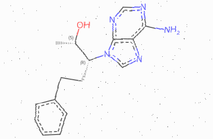 C[C@H](O)[C@@H](CCc1ccccc1)n1cnc2c(N)ncnc21